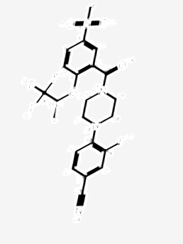 C[C@H](Oc1ccc(S(C)(=O)=O)cc1C(=O)N1CCN(c2ccc(C#N)cc2F)CC1)C(F)(F)F